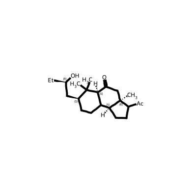 CC[C@@H](O)C[C@@H]1CCC2[C@H](C(=O)C[C@@]3(C)C(C(C)=O)CC[C@@H]23)C1(C)C